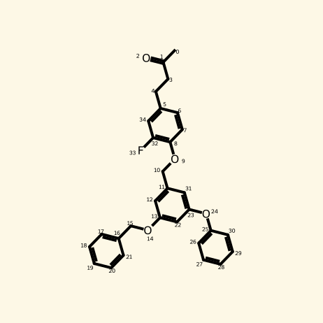 CC(=O)CCc1ccc(OCc2cc(OCc3ccccc3)cc(Oc3ccccc3)c2)c(F)c1